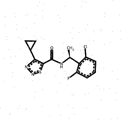 C[C@H](NC(=O)c1snnc1C1CC1)c1c(F)cccc1Cl